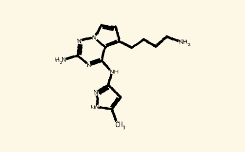 Cc1cc(Nc2nc(N)nn3ccc(CCCCN)c23)n[nH]1